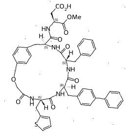 COC(=O)[C@H](CC(=O)O)NC(=O)[C@@H]1Cc2ccc(cc2)OCC(=O)N[C@@H](Cc2cccs2)C(=O)N[C@H](Cc2ccc(-c3ccccc3)cc2)C(=O)N[C@@H](Cc2ccccc2)C(=O)N1